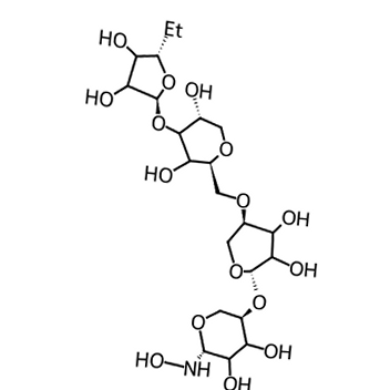 CC[C@@H]1O[C@@H](OC2C(O)[C@H](CO[C@@H]3CO[C@@H](O[C@@H]4CO[C@@H](NO)C(O)C4O)C(O)C3O)OC[C@H]2O)C(O)C1O